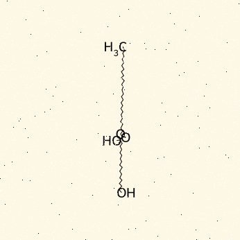 CCCCCCCCCCCCCCCCCCCCCCCCCCCCOC(=O)C(O)CCCCCCCCCCCCCCCCO